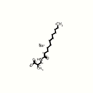 CCCCCCCCCCCC(=O)NCC(C)C(=O)[O-].[Na+]